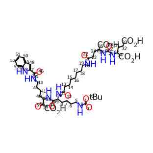 CC(C)(C)OC(=O)NCCCCC(NC(=O)CCCCCCCNC(=O)CCC(NC(=O)NC(CCC(=O)O)C(=O)O)C(=O)O)C(=O)NC(CCCCNC(=O)c1cc2ccccc2[nH]1)C(=O)C(=O)O